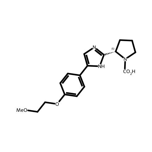 COCCOc1ccc(-c2cnc([C@@H]3CCCN3C(=O)O)[nH]2)cc1